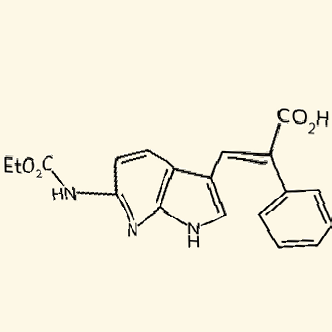 CCOC(=O)Nc1ccc2c(C=C(C(=O)O)c3ccccc3)c[nH]c2n1